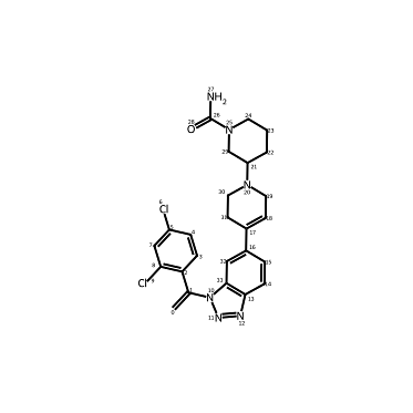 C=C(c1ccc(Cl)cc1Cl)n1nnc2ccc(C3=CCN(C4CCCN(C(N)=O)C4)CC3)cc21